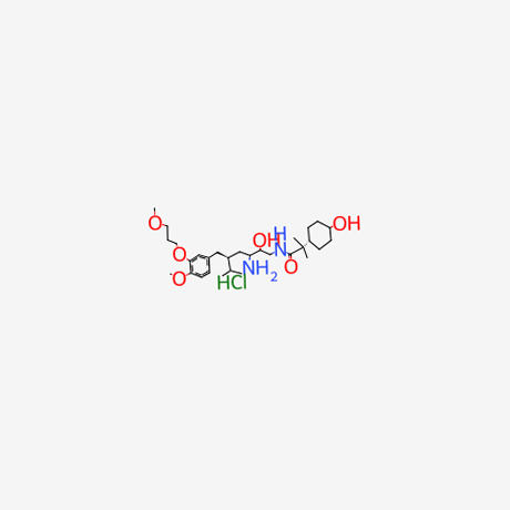 COCCCOc1cc(C[C@@H](C[C@H](N)[C@@H](O)CNC(=O)C(C)(C)[C@H]2CC[C@H](O)CC2)C(C)C)ccc1OC.Cl